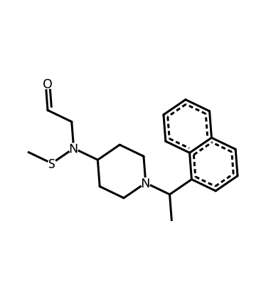 CSN(CC=O)C1CCN(C(C)c2cccc3ccccc23)CC1